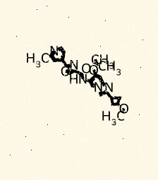 COC1CC(c2cn3cc(NC(=O)c4coc(-c5ccnc(C)c5)n4)c(OC(C)C)cc3n2)C1